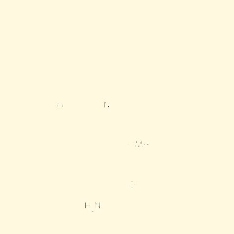 COc1c(C(N)=O)ccc(OCc2ccccc2)c1N1CCC(Cc2ccccc2)CC1